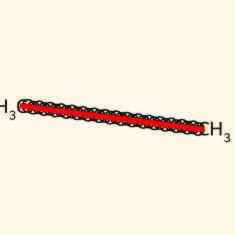 CCCOCCOCCOCCOCCOCCOCCOCCOCCOCCOCCOCCOCCOCCOCCOCCOCCOCCOCCOCCOCCOCCOCCOCCOCCOCCOCCOCCOCCOCCOCCOCCOCCC